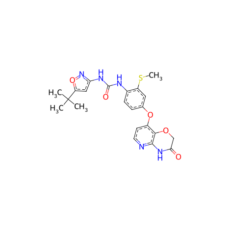 CSc1cc(Oc2ccnc3c2OCC(=O)N3)ccc1NC(=O)Nc1cc(C(C)(C)C)on1